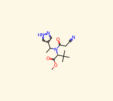 COC(=O)[C@@H](N(C(=O)CC#N)C(C)c1cn[nH]c1)C(C)(C)C